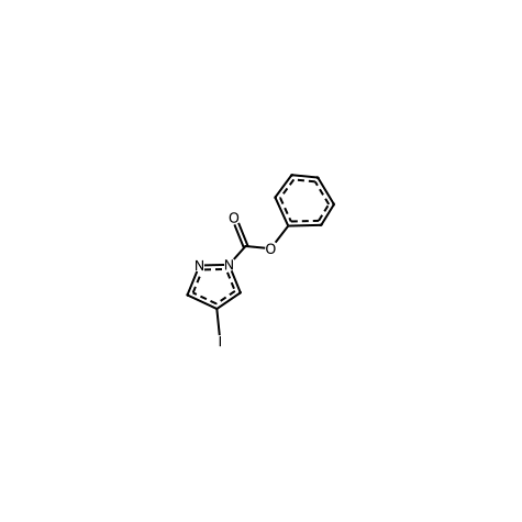 O=C(Oc1ccccc1)n1cc(I)cn1